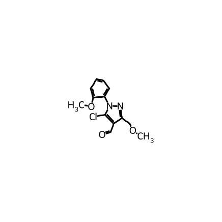 COCc1nn(-c2ccccc2OC)c(Cl)c1C=O